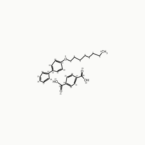 CCCCCCCCOc1ccc(-c2ccccc2)cc1.O=C(O)c1ccc(C(=O)O)cc1